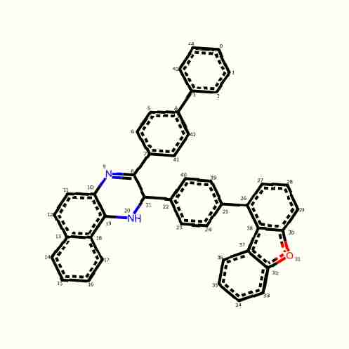 c1ccc(-c2ccc(C3=Nc4ccc5ccccc5c4NC3c3ccc(-c4cccc5oc6ccccc6c45)cc3)cc2)cc1